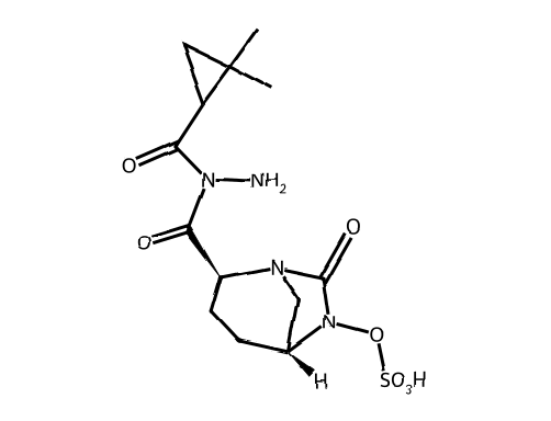 CC1(C)CC1C(=O)N(N)C(=O)[C@@H]1CC[C@@H]2CN1C(=O)N2OS(=O)(=O)O